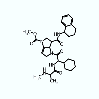 CNC(C)C(=O)NC(C(=O)N1CC=C2C1C(C(=O)NC1CCCc3ccccc31)CN2C(=O)OC)C1CCCCC1